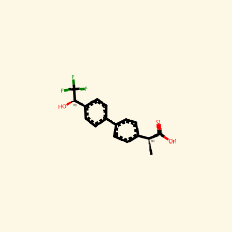 C[C@H](C(=O)O)c1ccc(-c2ccc([C@@H](O)C(F)(F)F)cc2)cc1